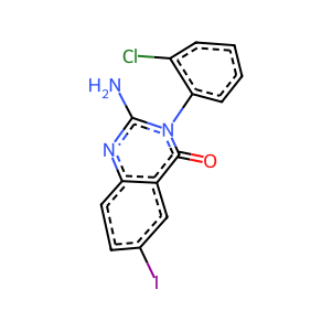 Nc1nc2ccc(I)cc2c(=O)n1-c1ccccc1Cl